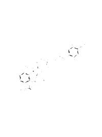 CNC(=O)OC1CCCC1C(C#N)(c1ccccc1)C1CCN(CCCOc2ccc(C#N)cc2)CC1